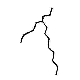 C[CH]CC(CCCC)CCCCCCCC